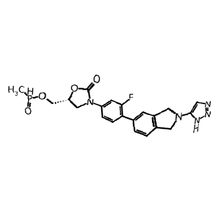 C[PH](=O)OC[C@H]1CN(c2ccc(-c3ccc4c(c3)CN(c3cnn[nH]3)C4)c(F)c2)C(=O)O1